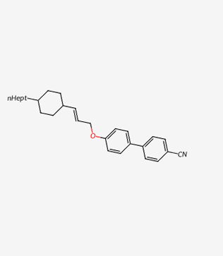 CCCCCCCC1CCC(/C=C/COc2ccc(-c3ccc(C#N)cc3)cc2)CC1